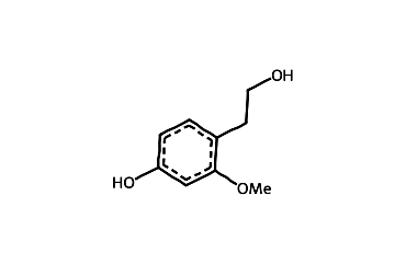 COc1cc(O)ccc1CCO